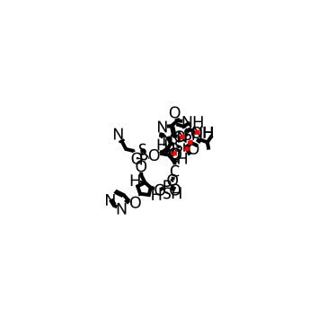 CC(C)C(=O)Nc1nc2c(ncn2[C@@H]2O[C@@H]3CO[P@@](=O)(S)O[C@H]4C[C@H](Oc5ccncn5)C[C@@H]4CO[P@@](=S)(OCCC#N)O[C@@H]2[C@@H]3O[Si](O[Si](O)(C(C)C)C(C)C)(C(C)C)C(C)C)c(=O)[nH]1